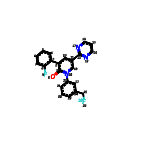 O=c1c(-c2ccccc2F)cc(-c2ncccn2)cn1-c1cccc(C[18F])c1